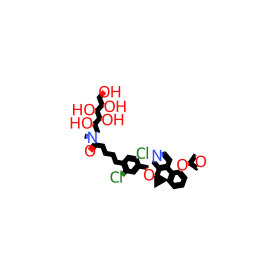 CN(CC(O)C(O)C(O)C(O)CO)C(=O)CCCCc1cc(Cl)c(COC2(c3cnccc3-c3ccccc3OC3COC3)CC2)cc1Cl